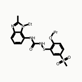 CCn1c(C)nc2cccc(NC(=O)NSc3cc(S(C)(=O)=O)ccc3OC(C)C)c21